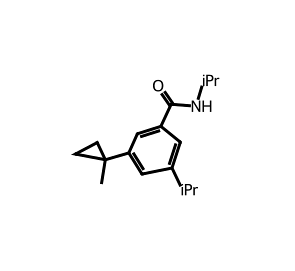 CC(C)NC(=O)c1cc(C(C)C)cc(C2(C)CC2)c1